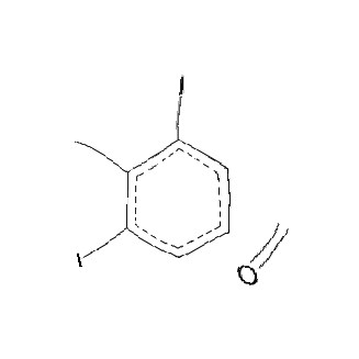 C=O.Cc1c(I)cccc1I